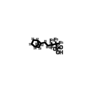 O=S(=O)(O)C(F)(F)C(F)(F)CCC1CC2CCC1C2